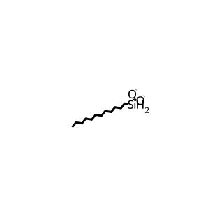 CCCCCCCCCCCC[SiH2]C(OC)OC